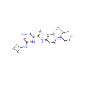 NC[C@H](NC(=O)NC1CCC1)C(=O)Nc1ccc(N2CCOCC2=O)c(F)c1